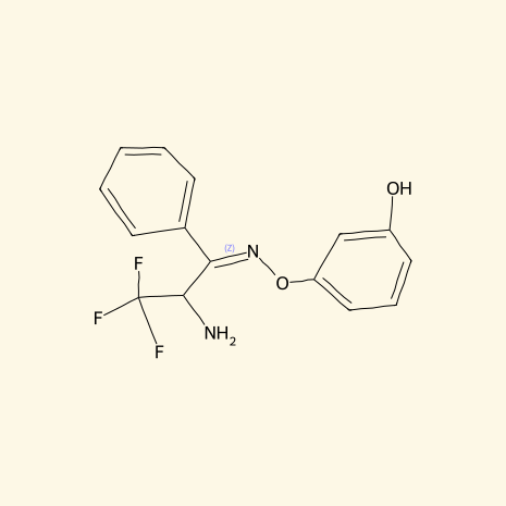 NC(/C(=N\Oc1cccc(O)c1)c1ccccc1)C(F)(F)F